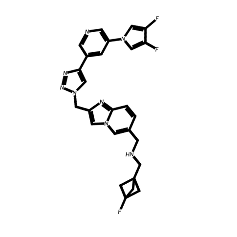 Fc1cn(-c2cncc(-c3cn(Cc4cn5cc(CNCC67CC(F)(C6)C7)ccc5n4)nn3)c2)cc1F